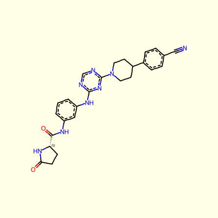 N#Cc1ccc(C2CCN(c3ncnc(Nc4cccc(NC(=O)[C@@H]5CCC(=O)N5)c4)n3)CC2)cc1